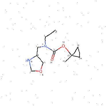 CCN(CC1COCN1)C(=O)OC1(C)CC1